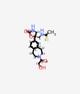 CC(=S)NC[C@]1(c2ccc3c(c2)CCN(C(=O)CO)CC3)CNC(=O)O1